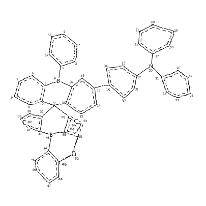 c1ccc(B2c3ccccc3C3(c4ccc(-c5ccc(N(c6ccccc6)c6ccccc6)cc5)cc42)c2ccccc2B2c4ccccc4Oc4cccc3c42)cc1